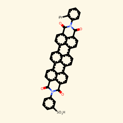 CC(C)c1ccccc1N1C(=O)c2ccc3c4ccc5c6ccc7c8c(ccc(c9ccc(c%10ccc(c2c3%10)C1=O)c4c59)c86)C(=O)N(c1cccc(S(=O)(=O)O)c1)C7=O